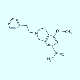 COc1cc(C(C)=O)cc2c1OCN(CCc1ccccc1)C2